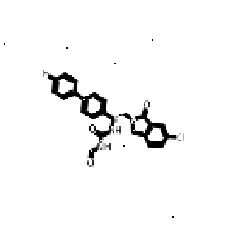 O=CNC(=O)N[C@@H](CN1Cc2ccc(Cl)cc2C1=O)c1ccc(-c2ccc(F)cc2)cc1